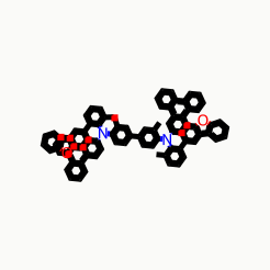 Cc1cc(-c2ccc(N(c3ccc4c5ccccc5c5ccccc5c4c3)c3c(C)cccc3-c3ccc4oc5ccccc5c4c3)c(C)c2)ccc1N(c1ccc2c3ccccc3c3ccccc3c2c1)c1c(C)cccc1-c1ccc2oc3ccccc3c2c1